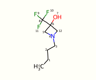 CCCCN1CC(O)(C(F)(F)F)C1